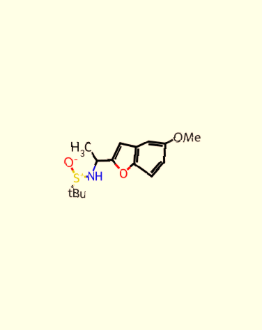 COc1ccc2oc(C(C)N[S@@+]([O-])C(C)(C)C)cc2c1